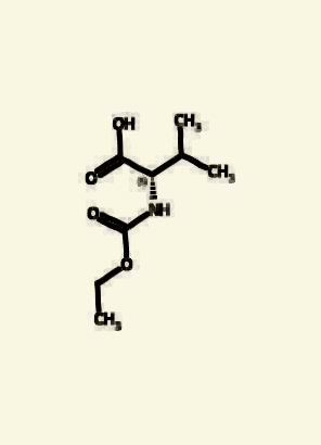 CCOC(=O)N[C@H](C(=O)O)C(C)C